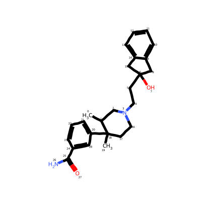 CC1CN(CCC2(O)Cc3ccccc3C2)CCC1(C)c1cccc(C(N)=O)c1